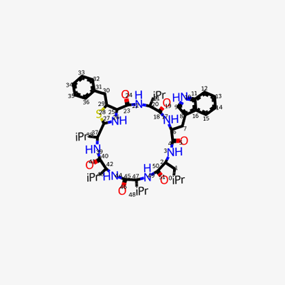 CC(C)CC1NC(=O)C(Cc2c[nH]c3ccccc23)NC(=O)C(C(C)C)NC(=O)C2NC(SC2Cc2ccccc2)C(C(C)C)NC(=O)C(C(C)C)NC(=O)C(C(C)C)NC1=O